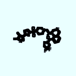 Cc1noc(-c2ccc(S(=O)(=O)N3CCN(C[C@H](C)N4CN=Cc5cccc(C(=O)N6CCC(F)(F)C6)c54)CC3)s2)c1C